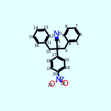 N#CC(Cc1ccccc1)(Cc1ccccc1)c1ccc([N+](=O)[O-])cc1